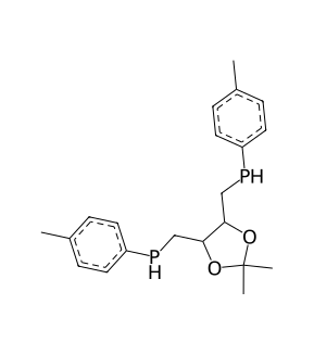 Cc1ccc(PCC2OC(C)(C)OC2CPc2ccc(C)cc2)cc1